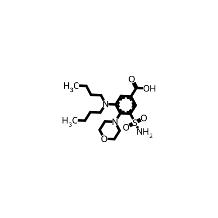 CCCCN(CCCC)c1cc(C(=O)O)cc(S(N)(=O)=O)c1N1CCOCC1